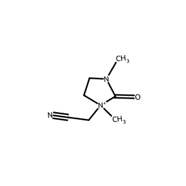 CN1CC[N+](C)(CC#N)C1=O